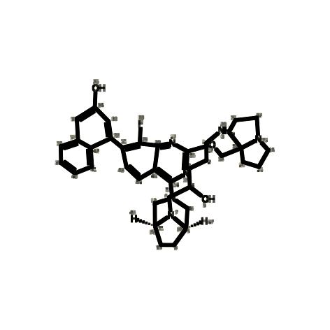 NCCCC(O)CN1[C@@H]2CC[C@H]1CN(c1nc(OCC34CCCN3CCC4)nc3c(F)c(-c4cc(O)cc5ccccc45)ccc13)C2